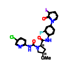 CO[C@@H]1C[C@H](C(=O)Nc2ccc(-n3cccc(I)c3=O)cc2F)N(C(=O)Nc2ccc(Cl)cn2)C1